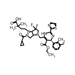 CCOC(=O)C1=C(CN2CC(F)(F)C3C2CN(C(=O)C2CC2)N3CCC(C)(C)C(=O)O)NC(c2nccs2)=N[C@H]1c1cccc(F)c1C